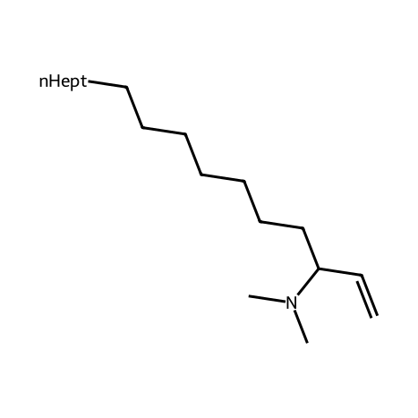 C=CC(CCCCCCCCCCCCCC)N(C)C